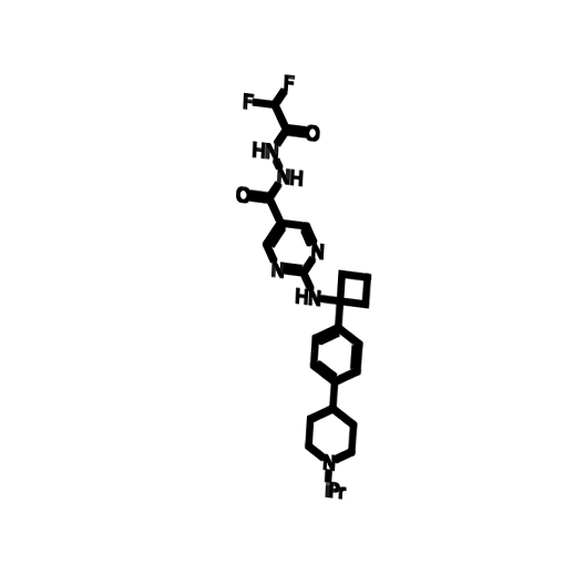 CC(C)N1CCC(c2ccc(C3(Nc4ncc(C(=O)NNC(=O)C(F)F)cn4)CCC3)cc2)CC1